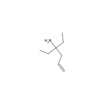 [CH]=CCC(N)(CC)CC